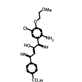 COCCOc1cc(N)c(C(=N)/C(O)=C/C(=N)c2ccc(C(=O)O)cc2)cc1Cl